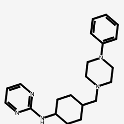 c1ccc(N2CCN(CC3CCC(Nc4ncccn4)CC3)CC2)cc1